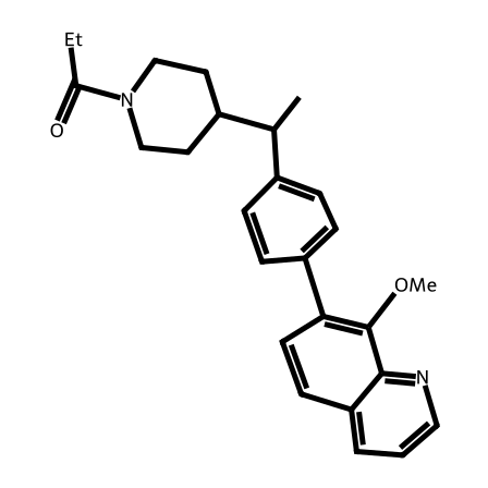 CCC(=O)N1CCC(C(C)c2ccc(-c3ccc4cccnc4c3OC)cc2)CC1